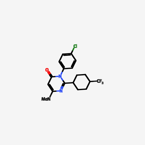 CNc1cc(=O)n(-c2ccc(Cl)cc2)c(C2CCC(C(F)(F)F)CC2)n1